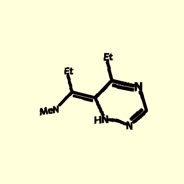 CCC1=NC=NN/C1=C(/CC)NC